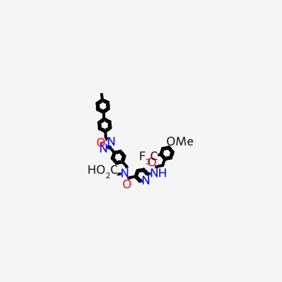 COc1ccc(CC(=O)Nc2ccc(C(=O)N(CC(=O)O)Cc3ccc(-c4noc(-c5ccc(-c6ccc(C)cc6)cc5)n4)cc3)cn2)c(C(F)(F)F)c1